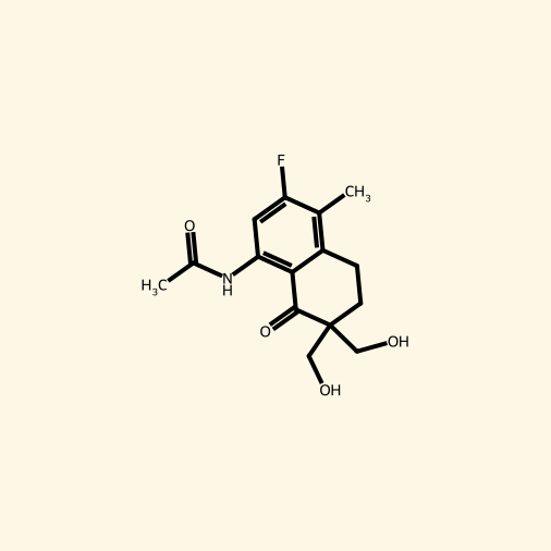 CC(=O)Nc1cc(F)c(C)c2c1C(=O)C(CO)(CO)CC2